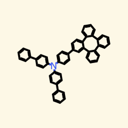 c1ccc(-c2ccc(N(c3ccc(-c4ccccc4)cc3)c3ccc(-c4ccc5c(c4)-c4ccccc4-c4ccccc4-c4ccccc4-5)cc3)cc2)cc1